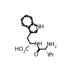 CC(C)[C@@H](N)C(=O)N[C@@H](Cc1c[nH]c2ccccc12)C(=O)O